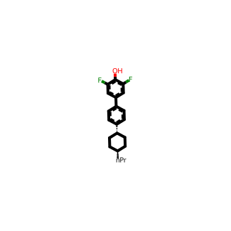 CCC[C@H]1CC[C@H](c2ccc(-c3cc(F)c(O)c(F)c3)cc2)CC1